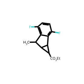 CCOC(=O)C1C2c3c(F)ccc(F)c3C(C)C12